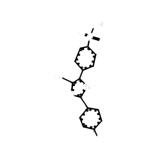 CS(=O)(=O)c1ccc(-c2nc(-c3ccc(F)cc3)oc2Br)cc1